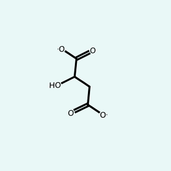 [O]C(=O)CC(O)C([O])=O